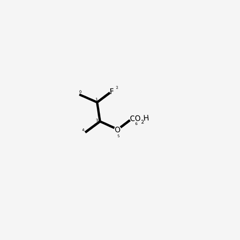 CC(F)C(C)OC(=O)O